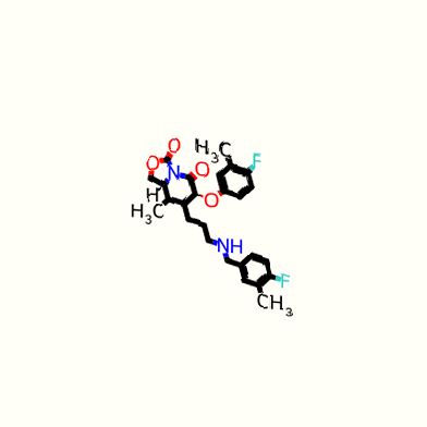 Cc1cc(CNCCCC2C(C)[C@H]3COC(=O)N3C(=O)[C@@H]2Oc2ccc(F)c(C)c2)ccc1F